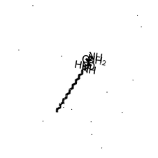 CCCCCCCCCCCCCCCCCCNNC(=O)C(=O)NN